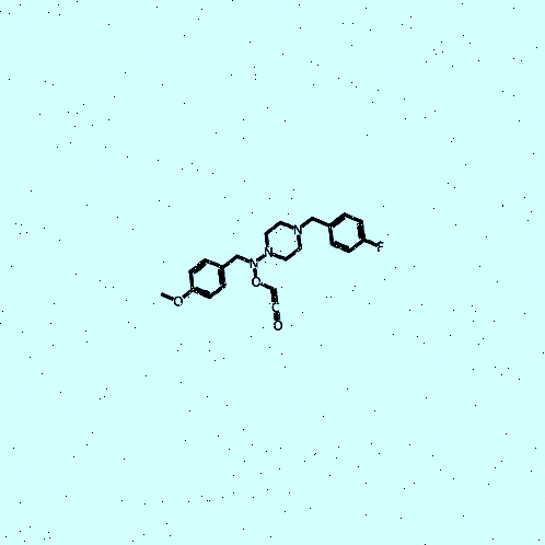 COc1ccc(CN(OC=C=O)N2CCN(Cc3ccc(F)cc3)CC2)cc1